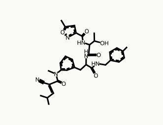 Cc1ccc(CNC(=O)C(Cc2cccc(N(C)C(=O)C(C#N)=CC(C)C)c2)NC(=O)C(NC(=O)c2cc(C)on2)C(C)O)cc1